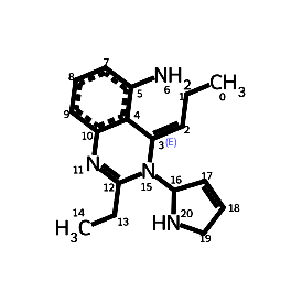 CC/C=C1\c2c(N)cccc2N=C(CC)N1C1C=CCN1